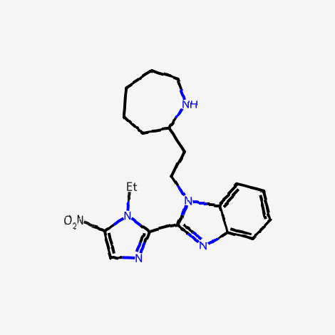 CCn1c([N+](=O)[O-])cnc1-c1nc2ccccc2n1CCC1CCCCCN1